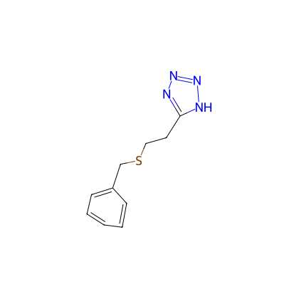 c1ccc(CSCCc2nnn[nH]2)cc1